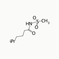 C[C](C)CCCC(=O)NS(C)(=O)=O